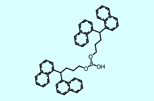 OB(OCCCC(c1cccc2ccccc12)c1cccc2ccccc12)OCCCC(c1cccc2ccccc12)c1cccc2ccccc12